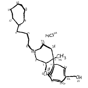 C[C@H]1CN(CCCC2CCCCC2)CC[C@]1(C)c1cccc(O)c1.Cl